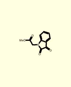 COC(=O)CN1C(=O)C(=O)c2ccccc21